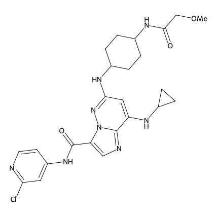 COCC(=O)NC1CCC(Nc2cc(NC3CC3)c3ncc(C(=O)Nc4ccnc(Cl)c4)n3n2)CC1